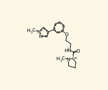 CN1CCC[C@@H]1C(=O)NCCOc1c[c]cc(-c2cnn(C)c2)c1